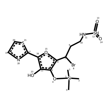 C[Si](C)(C)Oc1c(C(Br)CCN[SH](=O)=O)oc(-c2nccs2)c1O